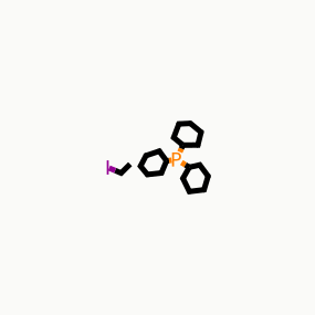 C1CCC(P(C2CCCCC2)C2CCCCC2)CC1.CCI